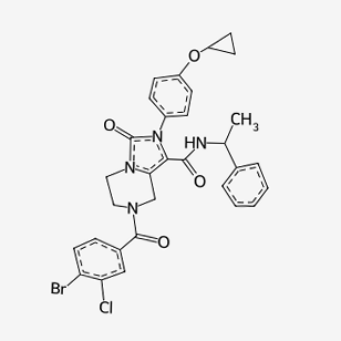 CC(NC(=O)c1c2n(c(=O)n1-c1ccc(OC3CC3)cc1)CCN(C(=O)c1ccc(Br)c(Cl)c1)C2)c1ccccc1